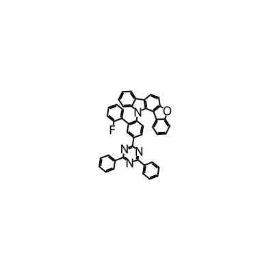 Fc1ccccc1-c1cc(-c2nc(-c3ccccc3)nc(-c3ccccc3)n2)ccc1-n1c2ccccc2c2ccc3oc4ccccc4c3c21